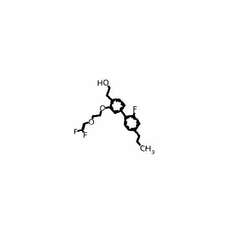 CCCc1ccc(-c2ccc(CCO)c(OCCOC=C(F)F)c2)c(F)c1